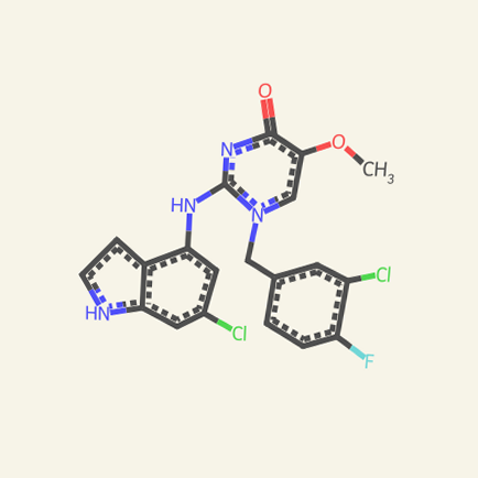 COc1cn(Cc2ccc(F)c(Cl)c2)c(Nc2cc(Cl)cc3[nH]ccc23)nc1=O